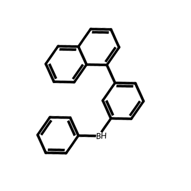 B(c1ccccc1)c1cccc(-c2cccc3ccccc23)c1